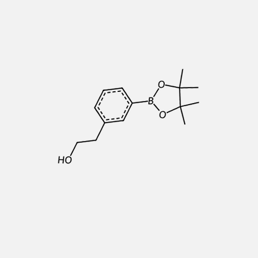 CC1(C)OB(c2cccc(CCO)c2)OC1(C)C